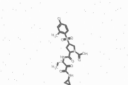 CC[C@H](NC(=O)C1CC(S(=O)(=O)c2ccc(Cl)cc2C)CN1C(=O)O)C(=O)C(=O)NC1CC1